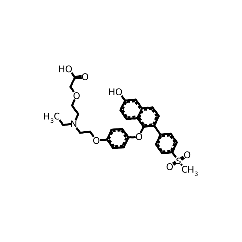 CCN(CCOCC(=O)O)CCOc1ccc(Oc2c(-c3ccc(S(C)(=O)=O)cc3)ccc3cc(O)ccc23)cc1